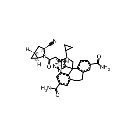 N#C[C@@H]1C[C@@H]2C[C@@H]2N1C(=O)CN[C@H](CC1(c2nnn[nH]2)c2ccc(C(N)=O)cc2CCc2cc(C(N)=O)ccc21)C1CC1